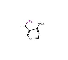 CNc1ccccc1C(C)P